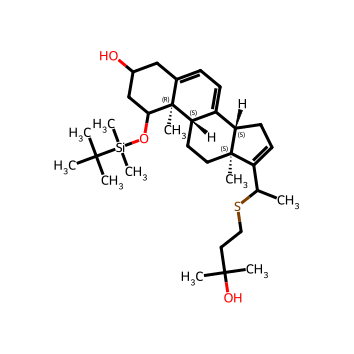 CC(SCCC(C)(C)O)C1=CC[C@H]2C3=CC=C4CC(O)CC(O[Si](C)(C)C(C)(C)C)[C@]4(C)[C@H]3CC[C@]12C